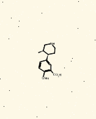 COc1ccc([C@@H]2CCNC[C@@H]2C)cc1C(=O)O